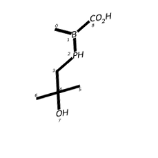 CB(PCC(C)(C)O)C(=O)O